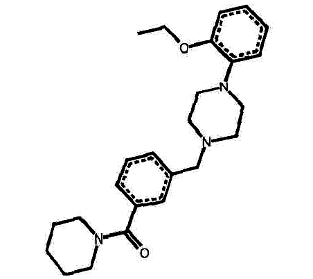 CCOc1ccccc1N1CCN(Cc2cccc(C(=O)N3CCCCC3)c2)CC1